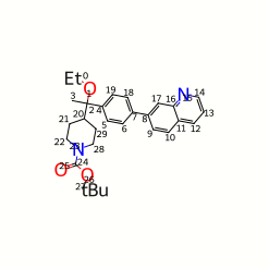 CCOC(C)(c1ccc(-c2ccc3cccnc3c2)cc1)C1CCN(C(=O)OC(C)(C)C)CC1